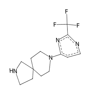 FC(F)(F)c1nccc(N2CCC3(CCNC3)CC2)n1